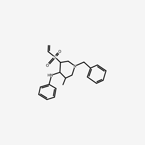 C=CS(=O)(=O)C1CN(Cc2ccccc2)CC(C)C1Nc1ccccc1